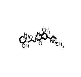 Cc1cc(-c2ccn(C)n2)cc2c(=O)n(C[C@@H](O)C[C@H]3NCCC[C@@H]3O)cnc12